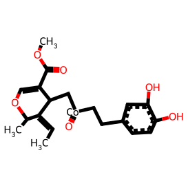 CC=C1C(C)OC=C(C(=O)OC)C1[CH2][Co](=[O])[CH2]Cc1ccc(O)c(O)c1